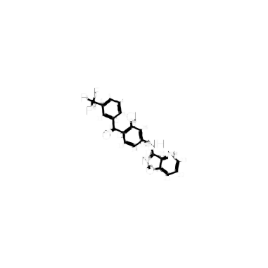 O=C(c1cccc(C(F)(F)F)c1)c1ccc(Nc2noc3cccnc23)cc1Cl